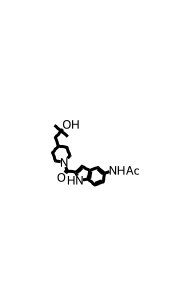 CC(=O)Nc1ccc2[nH]c(C(=O)N3CCC(CC(C)(C)O)CC3)cc2c1